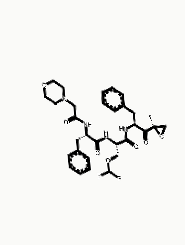 C[C@]1(C(=O)[C@H](Cc2ccccc2)NC(=O)[C@H](COC(F)F)NC(=O)[C@H](Cc2ccccc2)NC(=O)CN2CCOCC2)CO1